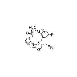 C[C@H]1NC(=O)c2cnn3cc4c(nc23)N(Cc2cc(F)cnc2O1)[C@H](CC#N)CO4